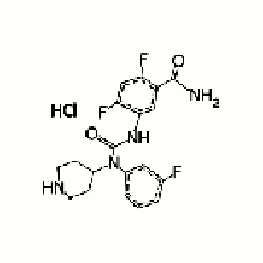 Cl.NC(=O)c1cc(NC(=O)N(c2cccc(F)c2)C2CCNCC2)c(F)cc1F